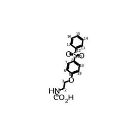 O=C(O)NCCOc1ccc(S(=O)(=O)c2ccccc2)cc1